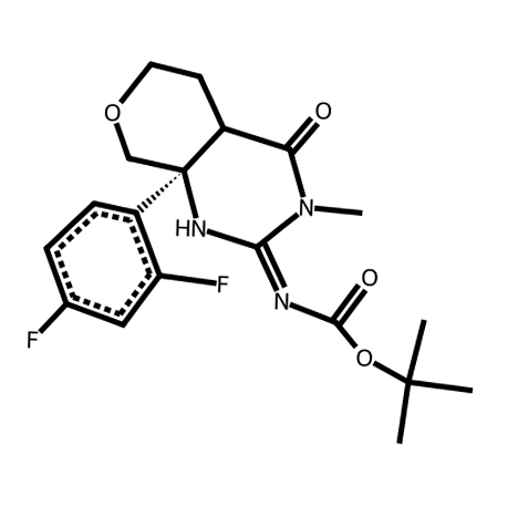 CN1C(=O)C2CCOC[C@]2(c2ccc(F)cc2F)NC1=NC(=O)OC(C)(C)C